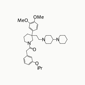 COc1ccc(C2(CCN3CCC(N4CCCCC4)CC3)CCCN(C(=O)Cc3cccc(OC(C)C)c3)C2)cc1OC